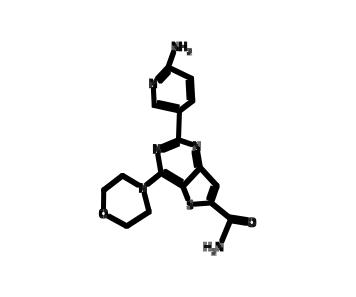 NC(=O)c1cc2nc(-c3ccc(N)nc3)nc(N3CCOCC3)c2s1